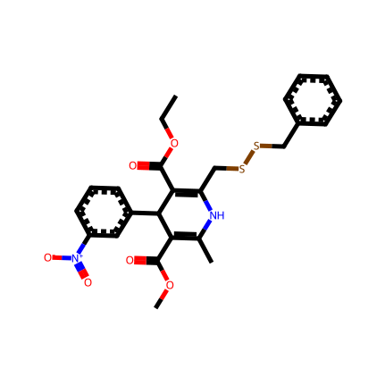 CCOC(=O)C1=C(CSSCc2ccccc2)NC(C)=C(C(=O)OC)C1c1cccc([N+](=O)[O-])c1